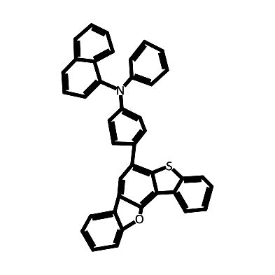 c1ccc(N(c2ccc(-c3cc4c5ccccc5oc4c4c3sc3ccccc34)cc2)c2cccc3ccccc23)cc1